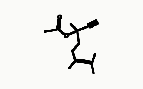 C#CC(C)(CCC(C)=C(C)C)OC(C)=O